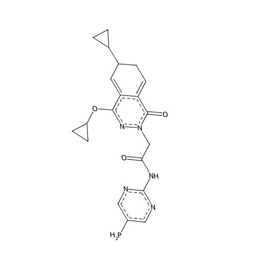 O=C(Cn1nc(OC2CC2)c2c(c1=O)=CCC(C1CC1)C=2)Nc1ncc(P)cn1